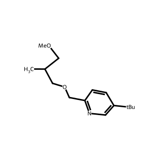 COCC(C)COCc1ccc(C(C)(C)C)cn1